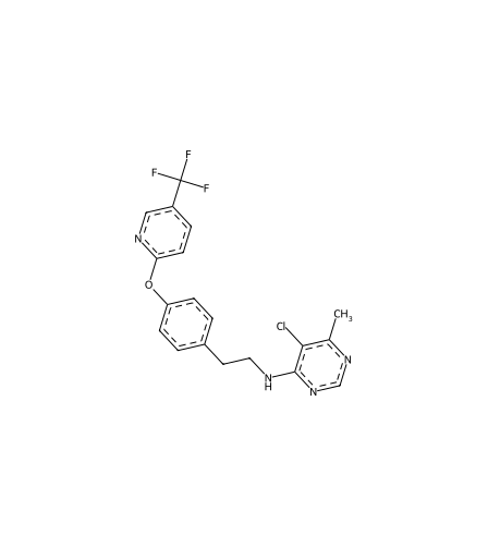 Cc1ncnc(NCCc2ccc(Oc3ccc(C(F)(F)F)cn3)cc2)c1Cl